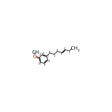 CCC=CCCCc1cccc(OC)c1